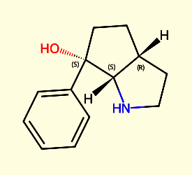 O[C@]1(c2ccccc2)CC[C@@H]2CCN[C@@H]21